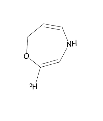 [2H]C1=CNC=CCO1